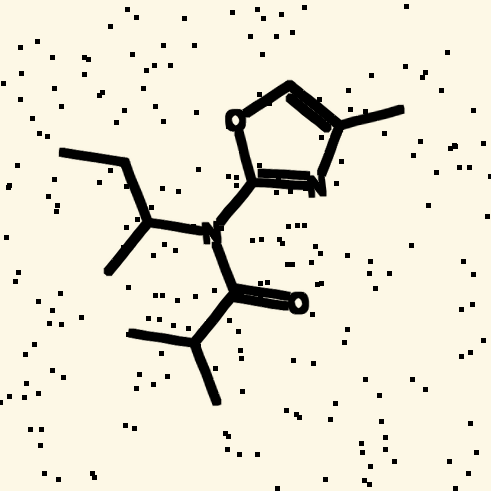 CCC(C)N(C(=O)C(C)C)c1nc(C)co1